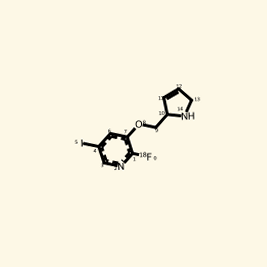 [18F]c1ncc(I)cc1OCC1C=CCN1